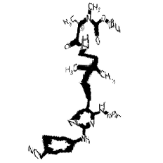 CCCNc1nc(Nc2ccc(C#N)cc2)ncc1C#CC(C)(C)CCNC(=O)[C@H](C)N(C)C(=O)OC(C)(C)C